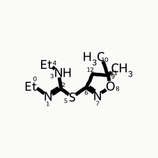 CCN=C(NCC)SC1=NOC(C)(C)C1